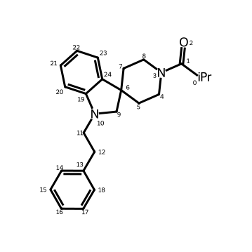 CC(C)C(=O)N1CCC2(CC1)CN(CCc1ccccc1)c1ccccc12